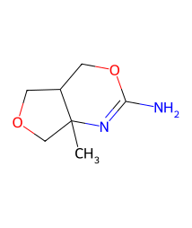 CC12COCC1COC(N)=N2